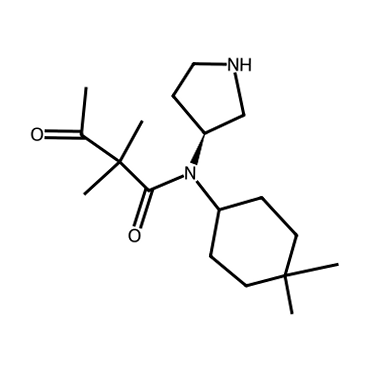 CC(=O)C(C)(C)C(=O)N(C1CCC(C)(C)CC1)[C@H]1CCNC1